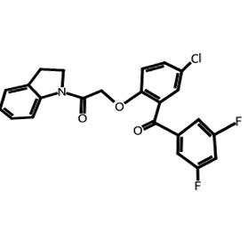 O=C(c1cc(F)cc(F)c1)c1cc(Cl)ccc1OCC(=O)N1CCc2ccccc21